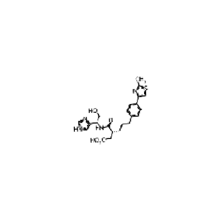 Cc1nc(-c2ccc(CCC[C@H](CC(=O)O)C(=O)N[C@H](CO)c3c[nH]cn3)cc2)cs1